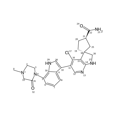 CN1CCN(c2cccc3c(-c4cnc5c(c4Cl)[C@]4(CC[C@@H](C(N)=O)C4)CN5)c[nH]c23)C(=O)C1